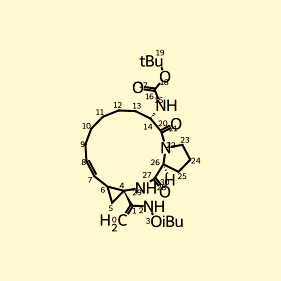 C=C(NOCC(C)C)[C@@]12CC1/C=C\CCCCC[C@H](NC(=O)OC(C)(C)C)C(=O)N1CCC[C@H]1C(=O)N2